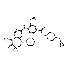 COc1cc(C(=O)NN2CCN(CC3CC3)CC2)ccc1Nc1ncc2c(n1)N(C1CCCCC1)CC(F)(F)C(=O)N2C